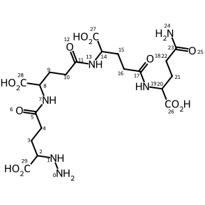 NNC(CCC(=O)NC(CCC(=O)NC(CCC(=O)NC(CCC(N)=O)C(=O)O)C(=O)O)C(=O)O)C(=O)O